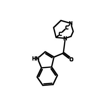 O=C(c1c[nH]c2ccccc12)N1CCN2CCC1CC2